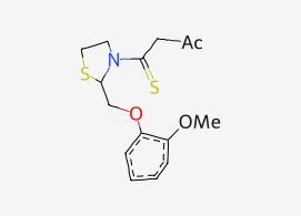 COc1ccccc1OCC1SCCN1C(=S)CC(C)=O